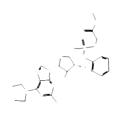 CCN(CC)c1nc(N)nc2c1ncn2[C@@H]1O[C@H](CP(=O)(N[C@@H](C)C(=O)OC)Oc2ccccc2)[C@@H](O)[C@@]1(C)F